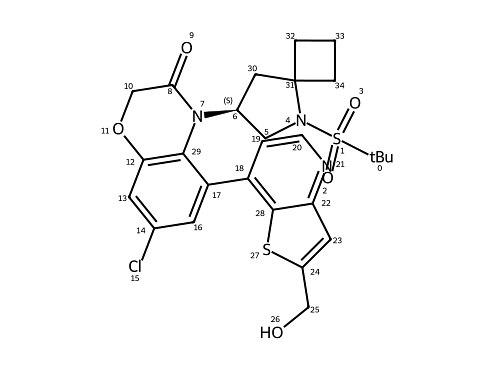 CC(C)(C)S(=O)(=O)N1C[C@@H](N2C(=O)COc3cc(Cl)cc(-c4ccnc5cc(CO)sc45)c32)CC12CCC2